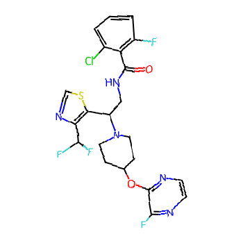 O=C(NCC(c1scnc1C(F)F)N1CCC(Oc2nccnc2F)CC1)c1c(F)cccc1Cl